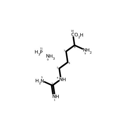 N.N=C(N)NCCCC(N)C(=O)O.P